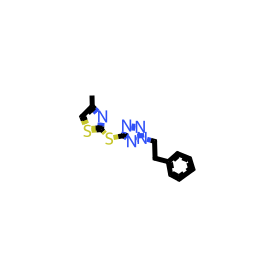 Cc1csc(Sc2nnn(CCc3ccccc3)n2)n1